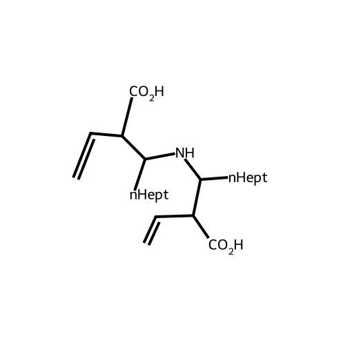 C=CC(C(=O)O)C(CCCCCCC)NC(CCCCCCC)C(C=C)C(=O)O